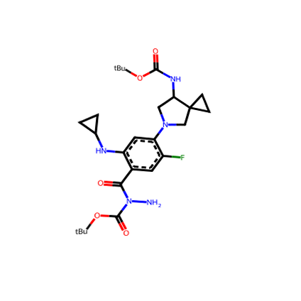 CC(C)(C)OC(=O)NC1CN(c2cc(NC3CC3)c(C(=O)N(N)C(=O)OC(C)(C)C)cc2F)CC12CC2